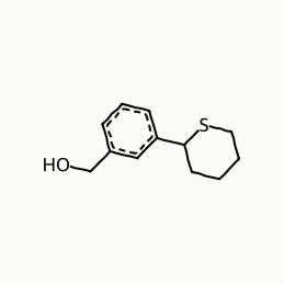 OCc1cccc(C2CCCCS2)c1